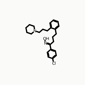 ON=C(CCCc1ccccc1CCCN1CCCCC1)c1ccc(Cl)cc1